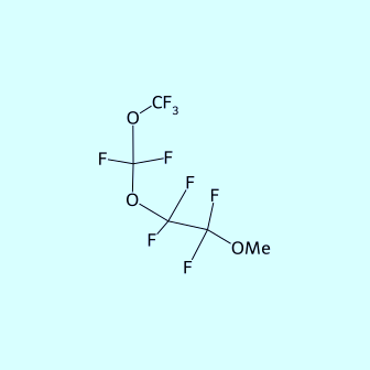 COC(F)(F)C(F)(F)OC(F)(F)OC(F)(F)F